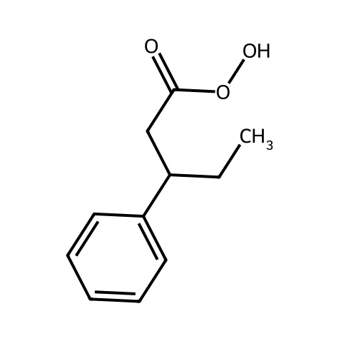 CCC(CC(=O)OO)c1ccccc1